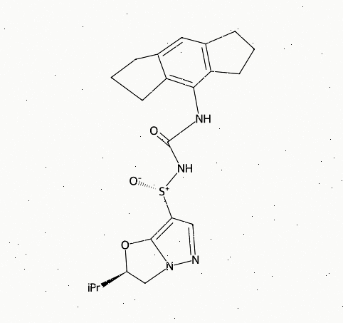 CC(C)[C@@H]1Cn2ncc([S@+]([O-])NC(=O)Nc3c4c(cc5c3CCC5)CCC4)c2O1